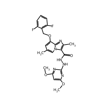 COc1cc(OC)nc(NNC(=O)c2c(C)nc3c(OCc4c(F)cccc4F)cc(C)cn23)n1